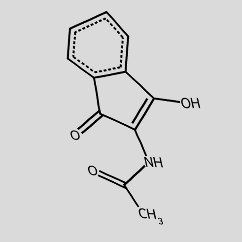 CC(=O)NC1=C(O)c2ccccc2C1=O